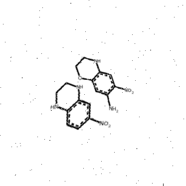 Nc1cc2c(cc1[N+](=O)[O-])NCCO2.O=[N+]([O-])c1ccc2c(c1)NCCN2